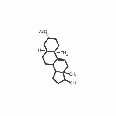 CC(=O)O[C@@H]1CC[C@]2(C)C3=CC[C@]4(C)C(C)CCC4C3CC[C@@H]2C1